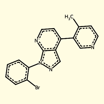 Cc1ccncc1-c1ccnc2c1cnn2-c1ccccc1Br